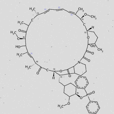 COC1CC(C[C@H]2C3CCCN4C(=O)C(=O)C5(O)O[C@@H](CCC5C)C[C@H](OC)/C(C)=C/C=C/C=C/[C@@H](C)CC(C)C(=O)[C@H](OC)C(O)/C(C)=C/[C@@H](C)C(=O)C[C@@H]2OC(=O)C34)CC[C@H]1OP(=O)(c1ccccc1)c1ccccc1